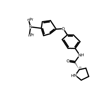 CCCN(CCC)c1ccc(Oc2ccc(NC(=O)[C@@H]3CCCN3)cc2)cc1